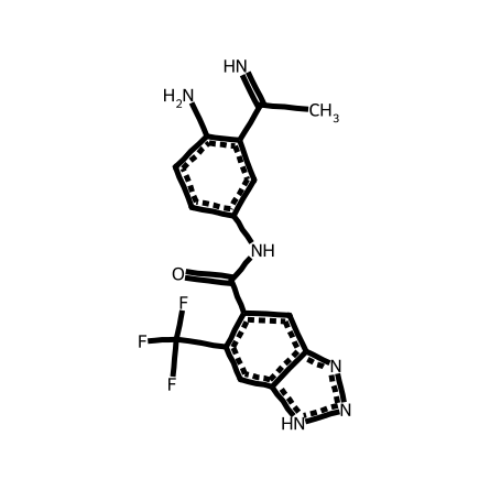 CC(=N)c1cc(NC(=O)c2cc3nn[nH]c3cc2C(F)(F)F)ccc1N